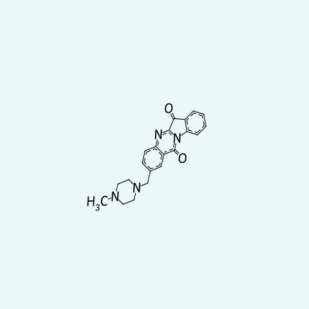 CN1CCN(Cc2ccc3nc4n(c(=O)c3c2)-c2ccccc2C4=O)CC1